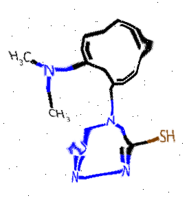 CN(C)c1ccccc1-n1nnnc1S